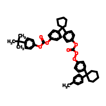 Cc1ccc(C2(c3ccc(OOC(=O)Oc4ccc(C5(c6ccc(OC(=O)Oc7ccc(C(C)(C)C)cc7)cc6)CCCCC5)cc4)cc3)CCCCC2)cc1